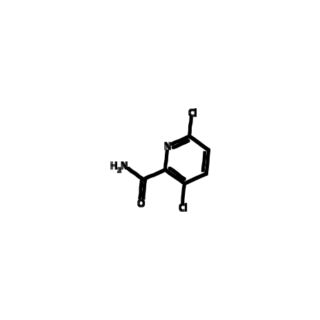 NC(=O)c1nc(Cl)ccc1Cl